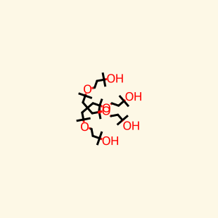 CC(C)(O)CCOC(C)(C)CC(CC(C)(C)OCCC(C)(C)O)(CC(C)(C)OCCC(C)(C)O)CC(C)(C)OCCC(C)(C)O